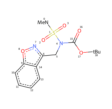 CNS(=O)(=O)N(Cc1noc2ccccc12)C(=O)OC(C)(C)C